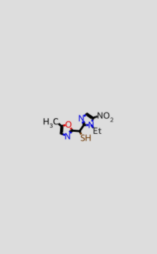 CCn1c([N+](=O)[O-])cnc1C(S)c1ncc(C)o1